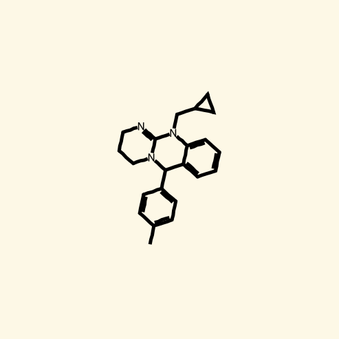 Cc1ccc(C2c3ccccc3N(CC3CC3)C3=NCCCN32)cc1